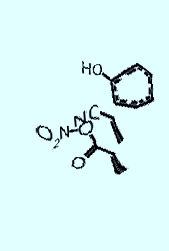 C=CC#N.C=CC(=O)O[N+](=O)[O-].Oc1ccccc1